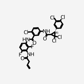 C=CCC(=O)Nc1c(F)ccc(NC(=O)c2cc(NC(=O)C3[C@H](c4ccc(Cl)c(Cl)c4)C3(Cl)Cl)ccc2Cl)c1F